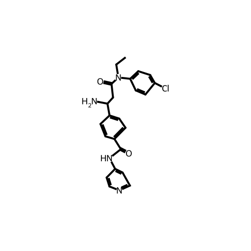 CCN(C(=O)CC(N)c1ccc(C(=O)Nc2ccncc2)cc1)c1ccc(Cl)cc1